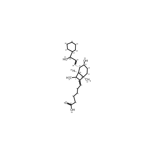 CC1C(=CCCCCC(=O)O)[C@]2(C)CC[C@H](O)[C@@H](/C=C/C(O)C3CCCCC3)[C@H]12